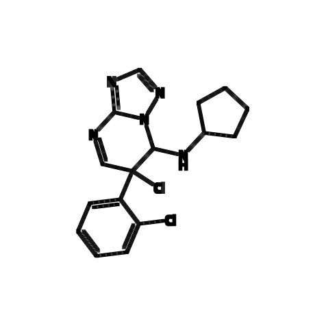 Clc1ccccc1C1(Cl)C=Nc2ncnn2C1NC1CCCC1